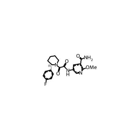 COc1ncc(NC(=O)C(=O)N2CCCC[C@H]2c2ccc(F)cc2)cc1C(N)=O